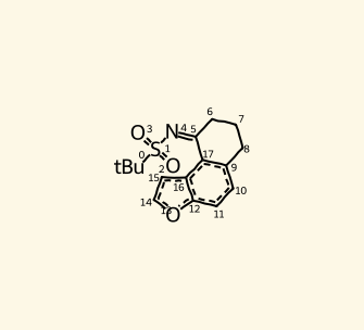 CC(C)(C)S(=O)(=O)/N=C1/CCCc2ccc3occc3c21